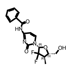 C[C@@H]1[C@@H](CO)O[C@@H](n2ccc(NC(=O)c3ccccc3)nc2=O)C1(F)F